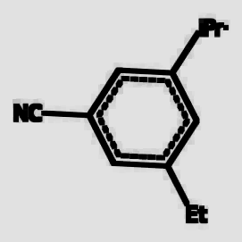 CCc1cc(C#N)cc([C](C)C)c1